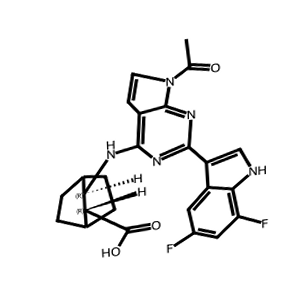 CC(=O)n1ccc2c(N[C@@H]3C4CCC(CC4)[C@H]3C(=O)O)nc(-c3c[nH]c4c(F)cc(F)cc34)nc21